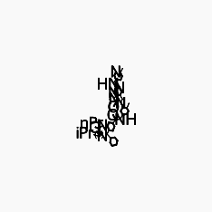 CCCN1C(=O)[C@H](CC(C)C)N=C(c2ccccc2)c2ccc(C(=O)Nc3ccc(C)c(N4Cc5cnc(Nc6ccc(C)nc6)nc5N(C)C4=O)c3)cc21